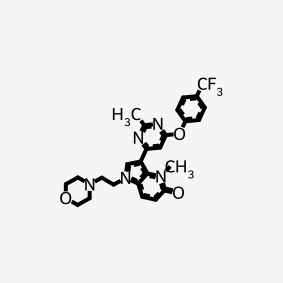 Cc1nc(Oc2ccc(C(F)(F)F)cc2)cc(-c2cn(CCN3CCOCC3)c3ccc(=O)n(C)c23)n1